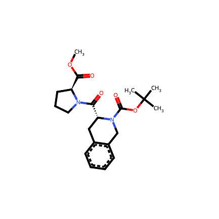 COC(=O)[C@@H]1CCCN1C(=O)[C@H]1Cc2ccccc2CN1C(=O)OC(C)(C)C